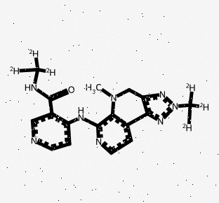 [2H]C([2H])([2H])NC(=O)c1cnccc1Nc1nccc2c1N(C)Cc1nn(C([2H])([2H])[2H])nc1-2